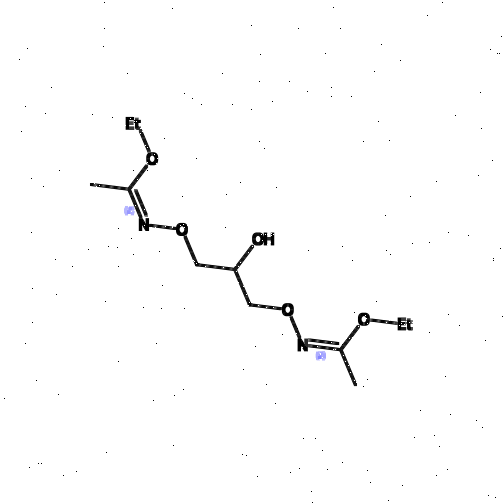 CCO/C(C)=N\OCC(O)CO/N=C(/C)OCC